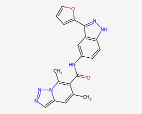 Cc1cc2cnnn2c(C)c1C(=O)Nc1ccc2[nH]nc(-c3ccco3)c2c1